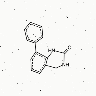 O=C1NCc2cccc(-c3ccccc3)c2N1